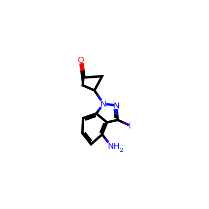 Nc1cccc2c1c(I)nn2C1CC(=O)C1